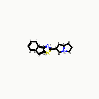 C1=CCC2=c3nc(C4CC5CCCN5C4)sc3=CC2=C1